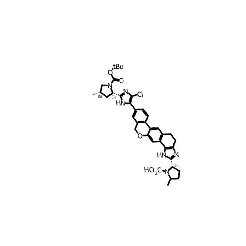 CC1CC[C@@H](c2nc3c([nH]2)-c2cc4c(cc2CC3)-c2ccc(-c3[nH]c([C@@H]5C[C@H](C)CN5C(=O)OC(C)(C)C)nc3Cl)cc2CO4)N1C(=O)O